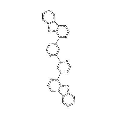 c1ccc2c(c1)sc1c(-c3ccnc(-c4cc(-c5nccc6c5sc5ccccc56)ccn4)c3)nccc12